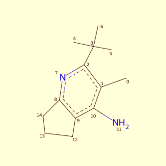 Cc1c(C(C)(C)C)nc2c(c1N)CCC2